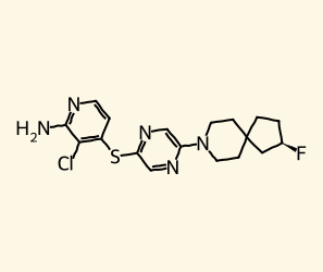 Nc1nccc(Sc2cnc(N3CCC4(CC[C@@H](F)C4)CC3)cn2)c1Cl